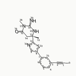 CC#Cc1cccc(-c2cnc([C@]3(C)CC(=O)N(C)C(=N)N3)s2)c1